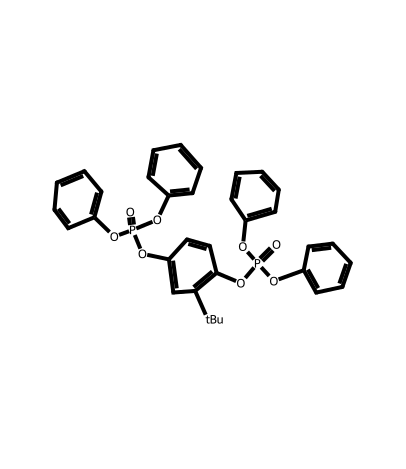 CC(C)(C)c1cc(OP(=O)(Oc2ccccc2)Oc2ccccc2)ccc1OP(=O)(Oc1ccccc1)Oc1ccccc1